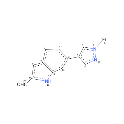 CCn1cc(-c2ccc3cc(C=O)[nH]c3c2)cn1